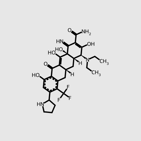 CCN(CC)[C@@H]1C(O)=C(C(N)=O)C(=N)[C@@]2(O)C(O)=C3C(=O)c4c(O)cc(C5CCCN5)c(C(F)(F)F)c4C[C@H]3C[C@@H]12